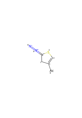 CC(=O)C1=CSC(=[N+]=[N-])C1